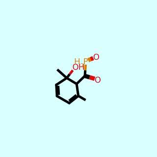 CC1=CC=CC(C)(O)C1C(=O)[PH2]=O